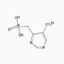 CCOC(=O)c1cncnc1CP(=O)(O)O